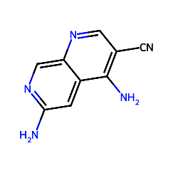 N#Cc1cnc2cnc(N)cc2c1N